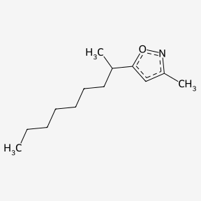 CCCCCCCC(C)c1cc(C)no1